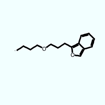 [CH2]CCCOCCCc1occ2ccccc12